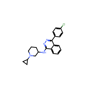 Clc1ccc(-c2nnc(NC3CCCN(C4CC4)C3)c3ccccc23)cc1